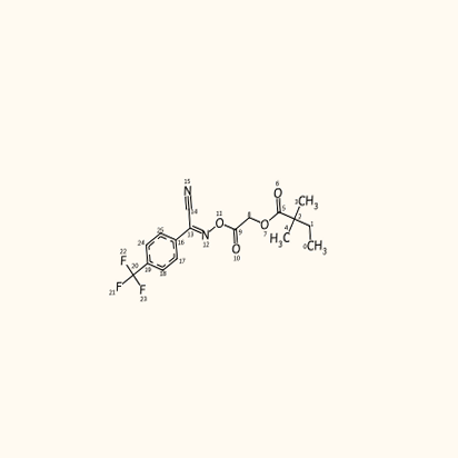 CCC(C)(C)C(=O)OCC(=O)O/N=C(\C#N)c1ccc(C(F)(F)F)cc1